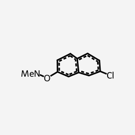 CNOc1ccc2ccc(Cl)cc2c1